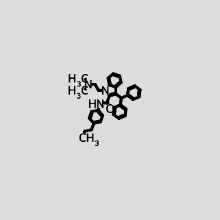 CCCc1ccc(NC(=O)c2c(C(c3ccccc3)c3ccccc3)c3ccccc3n2CCN(C)C)cc1